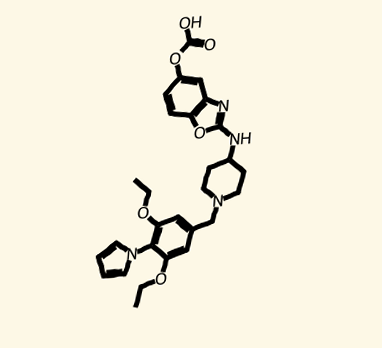 CCOc1cc(CN2CCC(Nc3nc4cc(OC(=O)O)ccc4o3)CC2)cc(OCC)c1-n1cccc1